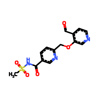 CS(=O)(=O)NC(=O)c1ccc(COc2cnccc2C=O)nc1